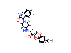 Cc1ccc2c(c1)OCC(C(O)CNC1CCN(C(C(N)=O)c3ccccc3)CC1)O2